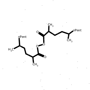 CCCCCC(C)CCC(C)C(=O)OOC(=O)C(C)CCC(C)CCCCC